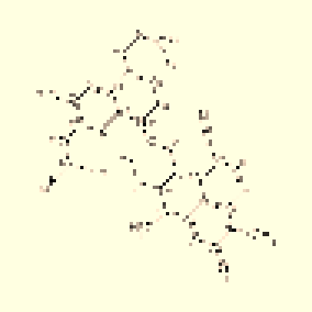 CN(c1cc(=O)n(C)c2ccc(C#N)nc12)C1CCC(N(CC2COCCO2)c2ccc(F)c(OC(F)F)c2)CC1